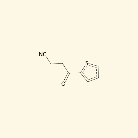 N#CCCC(=O)c1cccs1